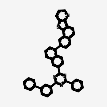 c1ccc(-c2cccc(-c3nc(-c4ccccc4)nc(-c4ccc5c(-c6ccc7ccc8c9ncccc9sc8c7c6)cccc5c4)n3)c2)cc1